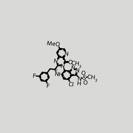 COc1cnc2c(=O)n(-c3ccc(Cl)c4c(NS(C)(=O)=O)nn(C)c34)c([C@@H](N)Cc3cc(F)cc(F)c3)nc2c1